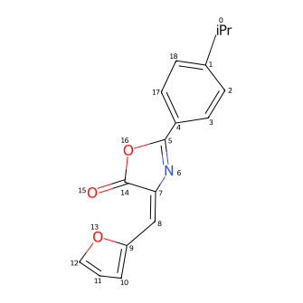 CC(C)c1ccc(C2=NC(=Cc3ccco3)C(=O)O2)cc1